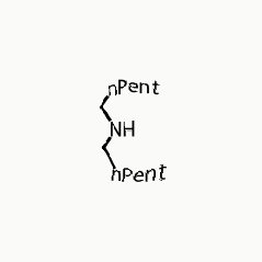 [CH2]CCCCCNCCCCC[CH2]